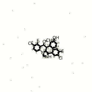 O=COC(c1cccc(Cl)c1F)C(c1cccc(O)c1)c1nc[nH]c1-c1ccc(F)c(Cl)c1